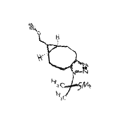 CSC(C)(C)n1nnc2c1CC[C@@H]1[C@H](CC2)[C@@H]1COC(C)(C)C